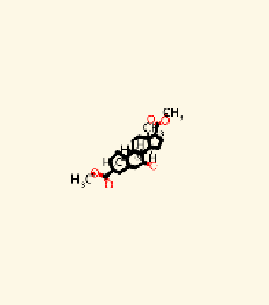 COC(=O)C1CC[C@@]2(C)C(=CC(=O)[C@@H]3[C@H]2CC[C@]2(C)C(C(=O)OC)CC[C@@H]32)C1